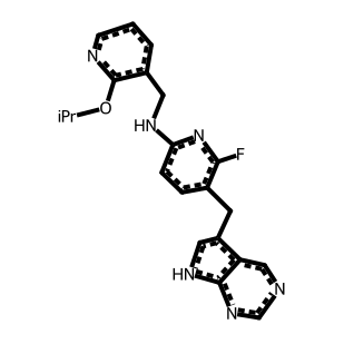 CC(C)Oc1ncccc1CNc1ccc(Cc2c[nH]c3ncncc23)c(F)n1